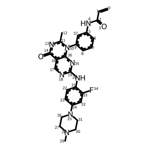 C=CC(=O)Nc1cccc(-n2c(C)nc(=O)c3cnc(Nc4ccc(N5CCN(C)CC5)cc4F)nc32)c1